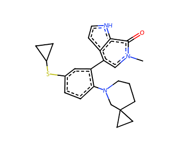 Cn1cc(-c2cc(SC3CC3)ccc2N2CCCC3(CC3)C2)c2cc[nH]c2c1=O